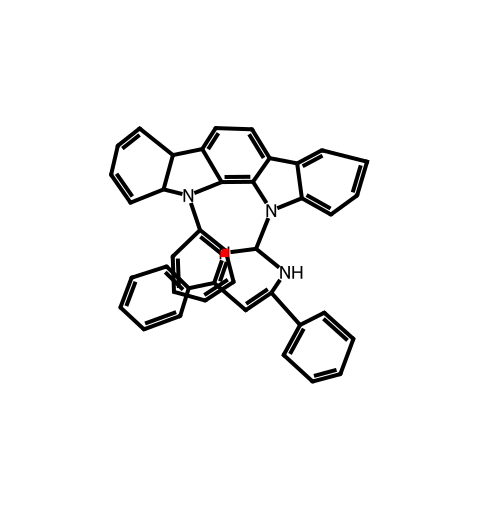 C1=CC2c3ccc4c5ccccc5n(C5N=C(c6ccccc6)C=C(c6ccccc6)N5)c4c3N(c3ccccc3)C2C=C1